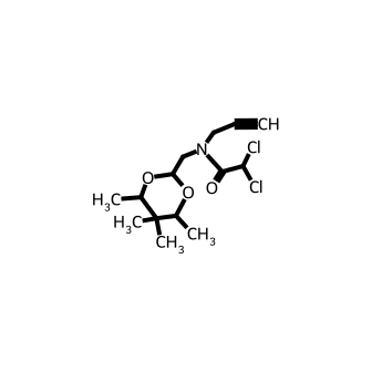 C#CCN(CC1OC(C)C(C)(C)C(C)O1)C(=O)C(Cl)Cl